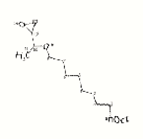 CCCCCCCCCCCCCCCCOC(C)C1CO1